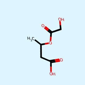 CC(CC(=O)O)OC(=O)CO